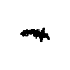 CCCOc1cc(OCCC)c(-c2cc(F)c(C(=O)Oc3ccc4cc([C@H](C)C(=O)OC(CC)CC)ccc4c3)c(F)c2)c(OCCC)c1